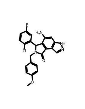 COc1ccc(CN2C(=O)c3c(c(N)cc4[nH]ncc34)C2c2cc(F)ccc2Cl)cc1